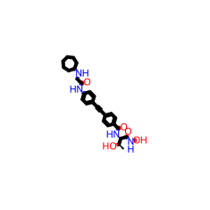 C[C@@H](O)[C@H](NC(=O)c1ccc(C#Cc2ccc(NC(=O)CNC3CCCCCC3)cc2)cc1)C(=O)NO